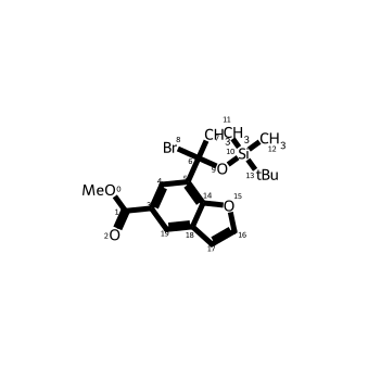 COC(=O)c1cc(C(C)(Br)O[Si](C)(C)C(C)(C)C)c2occc2c1